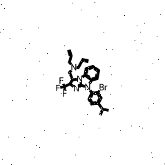 C=CCN(CC=C)CC1C(C(F)(F)F)N=C2N(c3ccc(C(C)C)cc3Br)c3ccccc3N21